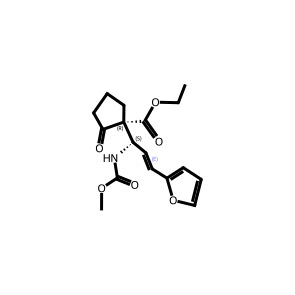 CCOC(=O)[C@@]1([C@H](/C=C/c2ccco2)NC(=O)OC)CCCC1=O